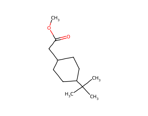 COC(=O)C[C]1CCC(C(C)(C)C)CC1